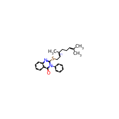 CC(C)=CCC/C(C)=C/CSc1nc2ccccc2c(=O)n1-c1ccccc1